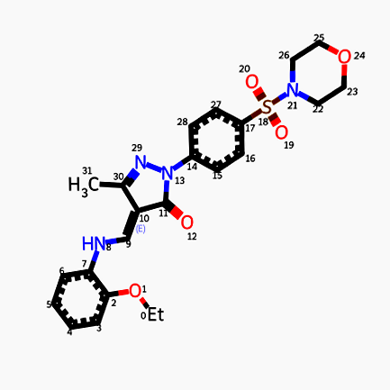 CCOc1ccccc1N/C=C1/C(=O)N(c2ccc(S(=O)(=O)N3CCOCC3)cc2)N=C1C